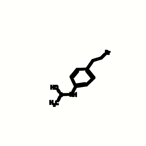 CB(O)Nc1ccc(CCBr)cc1